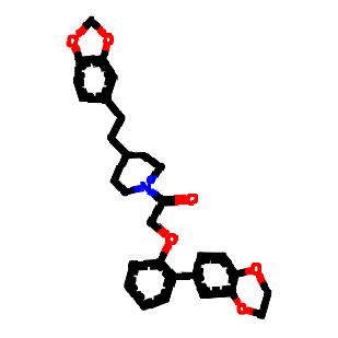 O=C(COc1ccccc1-c1ccc2c(c1)OCCO2)N1CCC(CCc2ccc3c(c2)OCO3)CC1